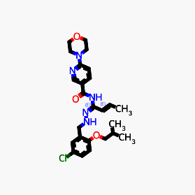 C/C=C/C(=N\NCc1cc(Cl)ccc1OCC(C)C)NC(=O)c1ccc(N2CCOCC2)nc1